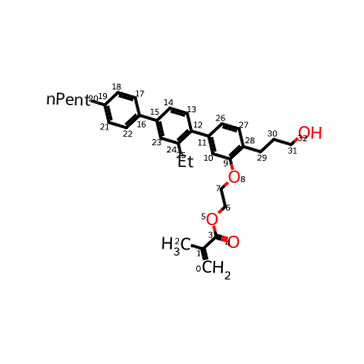 C=C(C)C(=O)OCCOc1cc(-c2ccc(-c3ccc(CCCCC)cc3)cc2CC)ccc1CCCO